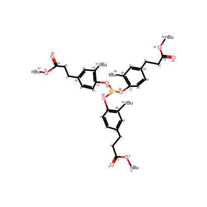 CCCCOC(=O)CCc1ccc(OP(Oc2ccc(CCC(=O)OCCCC)cc2C(C)(C)C)Oc2ccc(CCC(=O)OCCCC)cc2C(C)(C)C)c(C(C)(C)C)c1